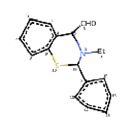 CCN1C(C=O)c2ccccc2SC1c1ccccc1